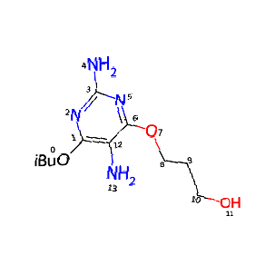 CC(C)COc1nc(N)nc(OCCCO)c1N